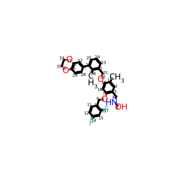 Cc1cc(CNO)c(OCc2ccc(F)cc2F)cc1OCc1cccc(-c2ccc3c(c2)OCCO3)c1C